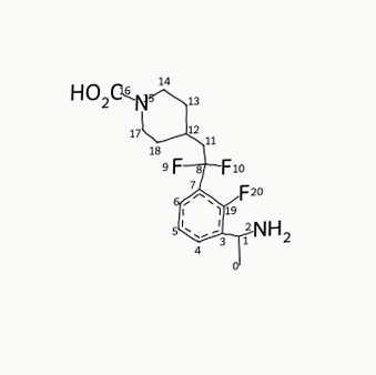 CC(N)c1cccc(C(F)(F)CC2CCN(C(=O)O)CC2)c1F